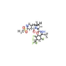 CS(=O)(=O)c1cc(C(=O)N2[C@@H](C(=O)N[C@@H](c3cc(F)c(C(F)(F)F)cc3F)C3CC3)C[C@@H]3C[C@@H]32)ccn1